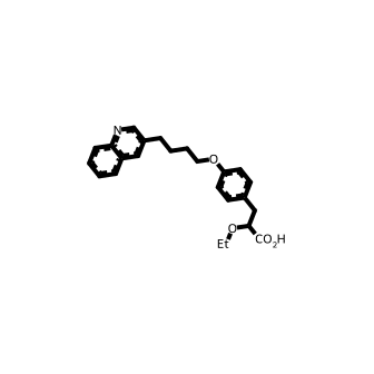 CCOC(Cc1ccc(OCCCCc2cnc3ccccc3c2)cc1)C(=O)O